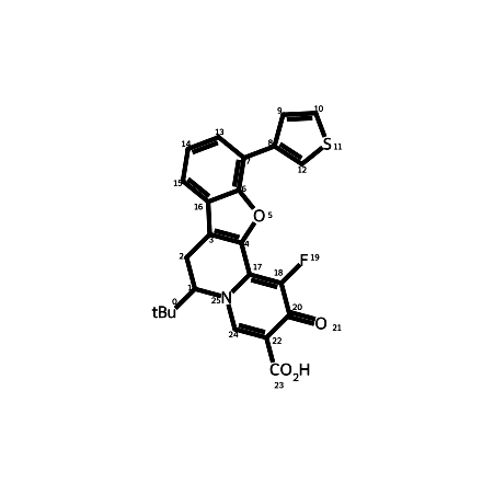 CC(C)(C)C1Cc2c(oc3c(-c4ccsc4)cccc23)-c2c(F)c(=O)c(C(=O)O)cn21